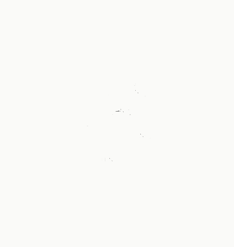 Br.Br.NCCCC[C@H](N)C(=O)O.Nc1ccc([N+](=O)[O-])cc1